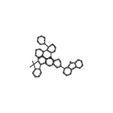 CC1(C)c2ccccc2-c2cc(N(c3ccc(-c4cccc5c4sc4ccccc45)cc3)c3cccc(-c4ccccc4)c3-c3ccccc3-c3ccccc3)ccc21